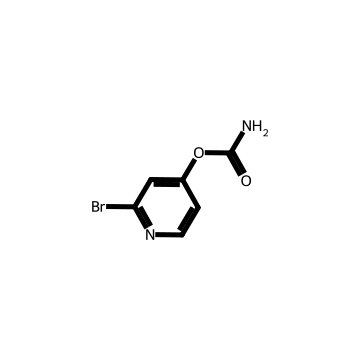 NC(=O)Oc1ccnc(Br)c1